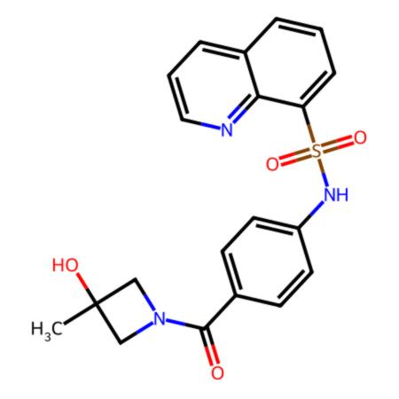 CC1(O)CN(C(=O)c2ccc(NS(=O)(=O)c3cccc4cccnc34)cc2)C1